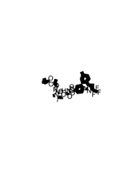 Cc1ccc(-c2cc(C(F)(F)F)nn2-c2ccc(S(=O)(=O)NC(=O)OC[C@H](C)N(C)[N+]([O-])=NOC(C)OC(=O)C(C)(C)C)cc2)cc1